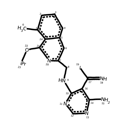 Cc1cccc2cc(CNc3ncnc(N)c3C(=N)I)nc(OC(C)C)c12